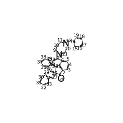 O=C1c2cccc3c(N4CCCN(Cc5ccccc5)CC4)ccc(c23)C1(Cc1ccccc1)Cc1ccccc1